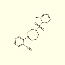 Cc1ccccc1S(=O)(=O)N1CCCN(c2ncccc2C#N)CC1